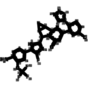 Nc1ccc(-c2[nH]c(C3C4CC4c4nc(-c5cc(Cl)ccc5-n5cnnn5)cc(=O)n43)nc2F)cc1OC(F)(F)F